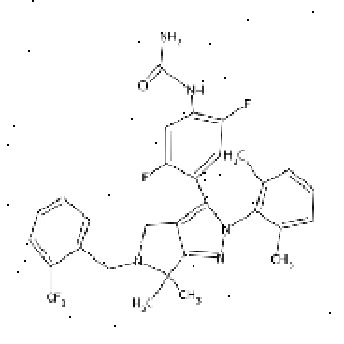 Cc1cccc(C)c1-n1nc2c(c1-c1cc(F)c(NC(N)=O)cc1F)CN(Cc1ccccc1C(F)(F)F)C2(C)C